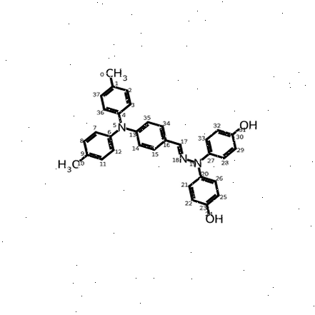 Cc1ccc(N(c2ccc(C)cc2)c2ccc(/C=N/N(c3ccc(O)cc3)c3ccc(O)cc3)cc2)cc1